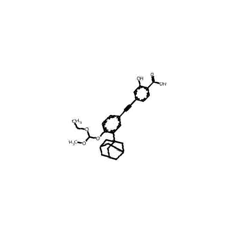 CCOC(OC)Oc1ccc(C#Cc2ccc(C(=O)O)c(O)c2)cc1C12CC3CC(CC(C3)C1)C2